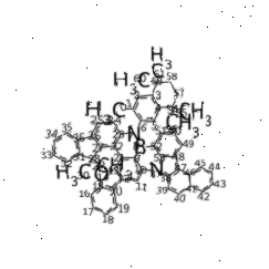 Cc1cc2c(cc1N1B3c4c(cc5c(oc6ccccc65)c4-c4c1ccc1c4C(C)(C)c4ccccc4-1)-n1c4ccc5ccccc5c4c4cccc3c41)C(C)(C)CCC2(C)C